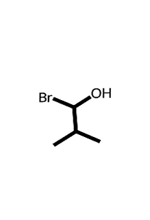 CC(C)C(O)Br